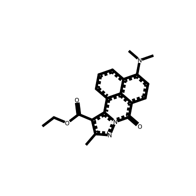 CCOC(=O)c1c(C)nn2c(=O)c3ccc(N(C)C)c4cccc(c43)c12